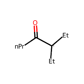 CCCC(=O)[C](CC)CC